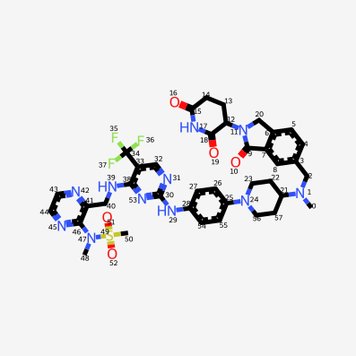 CN(Cc1ccc2c(c1)C(=O)N(C1CCC(=O)NC1=O)C2)C1CCN(c2ccc(Nc3ncc(C(F)(F)F)c(NCc4nccnc4N(C)S(C)(=O)=O)n3)cc2)CC1